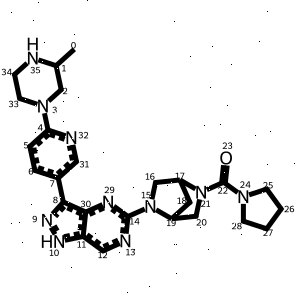 CC1CN(c2ccc(-c3n[nH]c4cnc(N5CC6CC5CN6C(=O)N5CCCC5)nc34)cn2)CCN1